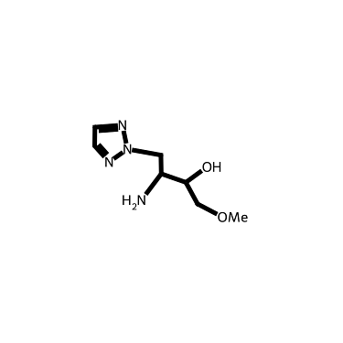 COCC(O)C(N)Cn1nccn1